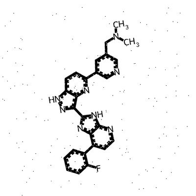 CN(C)Cc1cncc(-c2ccc3[nH]nc(-c4nc5c(-c6ccccc6F)ccnc5[nH]4)c3n2)c1